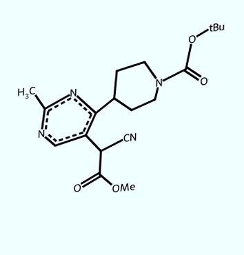 COC(=O)C(C#N)c1cnc(C)nc1C1CCN(C(=O)OC(C)(C)C)CC1